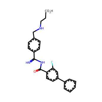 N=C(NC(=O)c1ccc(-c2ccccc2)cc1F)c1ccc(CNCCC(=O)O)cc1